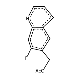 CC(=O)OCc1cc2cccnc2cc1F